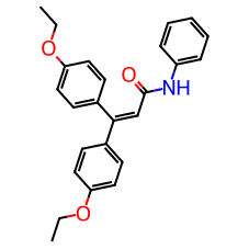 CCOc1ccc(C(=CC(=O)Nc2ccccc2)c2ccc(OCC)cc2)cc1